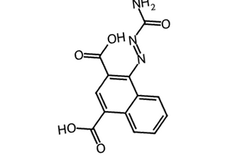 NC(=O)/N=N/c1c(C(=O)O)cc(C(=O)O)c2ccccc12